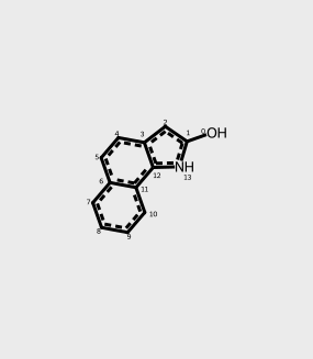 Oc1cc2ccc3ccccc3c2[nH]1